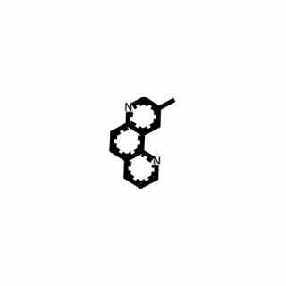 Cc1cnc2ccc3cccnc3c2c1